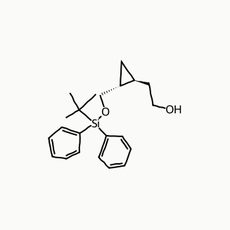 CC(C)(C)[Si](OC[C@@H]1C[C@H]1CCO)(c1ccccc1)c1ccccc1